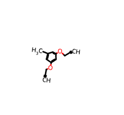 C#CCOc1cc(C)cc(OCC#C)c1